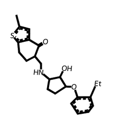 CCc1ccccc1OC1CCC(NCC2CCc3sc(C)cc3C2=O)C1O